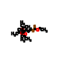 CCOC(=S)SCCC[Si](OC(C)C)(OC(C)C)OC(C)C